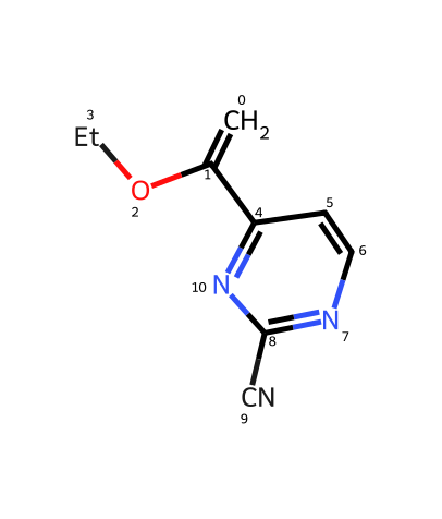 C=C(OCC)c1ccnc(C#N)n1